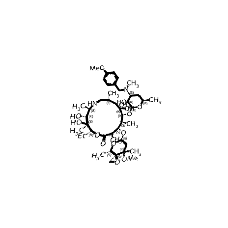 CC[C@H]1OC(=O)[C@H](C)[C@@H](O[C@H]2C[C@@](C)(OC)[C@]3(CO3)[C@H](C)O2)[C@H](C)[C@@H](O[C@@H]2O[C@H](C)C[C@H](N(C)Cc3ccc(OC)cc3)[C@H]2O)[C@](C)(O)C[C@@H](C)CN[C@H](C)[C@@H](O)[C@]1(C)O